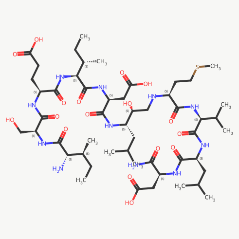 CC[C@H](C)[C@H](N)C(=O)N[C@@H](CO)C(=O)N[C@@H](CCC(=O)O)C(=O)N[C@H](C(=O)N[C@@H](CC(=O)O)C(=O)N[C@@H](CC(C)C)[C@@H](O)CN[C@@H](CCSC)C(=O)N[C@H](C(=O)N[C@@H](CC(C)C)C(=O)N[C@@H](CC(=O)O)C(N)=O)C(C)C)[C@@H](C)CC